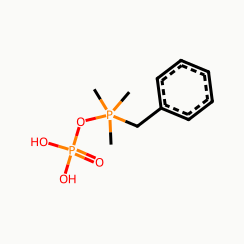 CP(C)(C)(Cc1ccccc1)OP(=O)(O)O